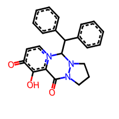 O=C1c2c(O)c(=O)ccn2C(C(c2ccccc2)c2ccccc2)N2CCCN12